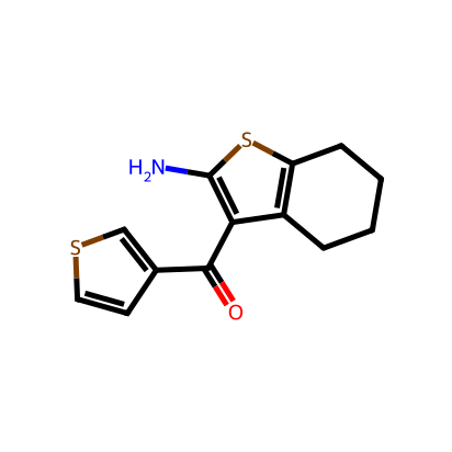 Nc1sc2c(c1C(=O)c1ccsc1)CCCC2